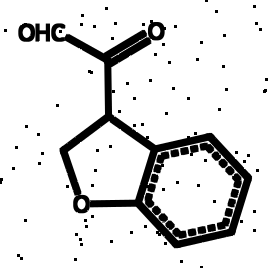 O=CC(=O)C1COc2ccccc21